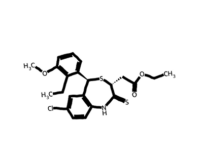 CCOC(=O)C[C@H]1S[C@H](c2cccc(OC)c2CC)c2cc(Cl)ccc2NC1=S